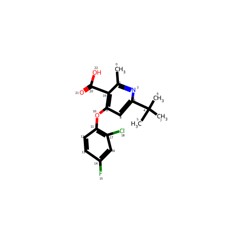 Cc1nc(C(C)(C)C)cc(Oc2ccc(F)cc2Cl)c1C(=O)O